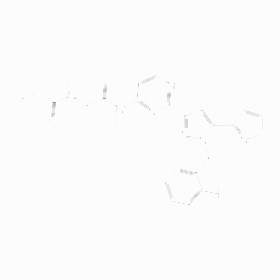 O=C(CCl)NCC(=O)Nc1ccnc(-c2cc(-c3ccon3)n(Cc3ccccc3F)n2)n1